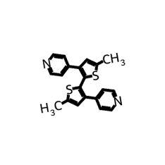 Cc1cc(-c2ccncc2)c(-c2sc(C)cc2-c2ccncc2)s1